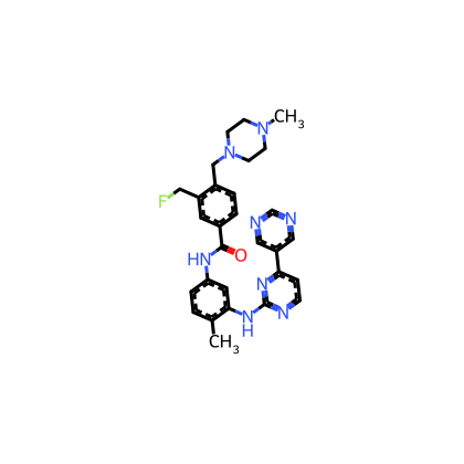 Cc1ccc(NC(=O)c2ccc(CN3CCN(C)CC3)c(CF)c2)cc1Nc1nccc(-c2cncnc2)n1